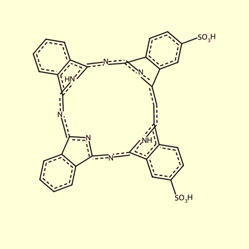 O=S(=O)(O)c1ccc2c(c1)-c1cc3[nH]c(nc4nc(nc5[nH]c(nc-2n1)c1ccccc51)-c1ccccc1-4)c1cc(S(=O)(=O)O)ccc31